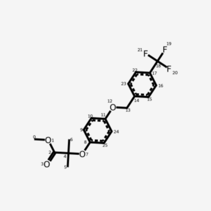 COC(=O)C(C)(C)Oc1ccc(OCc2ccc(C(F)(F)F)cc2)cc1